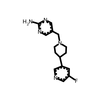 Nc1ncc(CN2CCC(c3cncc(F)c3)CC2)cn1